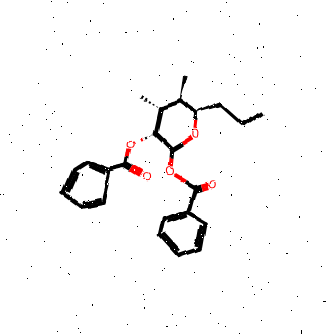 CCC[C@H]1OC(OC(=O)c2ccccc2)[C@H](OC(=O)c2ccccc2)[C@H](C)[C@H]1C